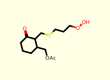 CC(=O)OCC1CCCC(=O)C1CSCCCOO